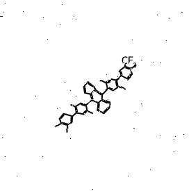 Cc1ccc(-c2cc(C)c(-c3c4ccccc4c(-c4cc(C)c(-c5ccc(C)c(C(F)(F)F)c5)cc4C)c4ccccc34)cc2C)cc1C